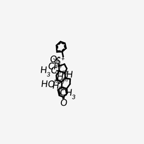 C[C@]12C=CC(=O)C=C1CC[C@@H]1[C@H]2[C@@H](O)C[C@@]2(C)[C@H]1CC[C@]2(Cl)[S@+]([O-])Cc1ccccc1